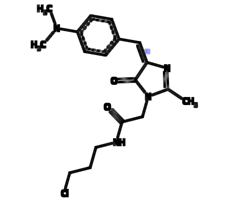 CC1=N/C(=C/c2ccc(N(C)C)cc2)C(=O)N1CC(=O)NCCCCl